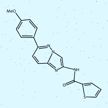 COc1ccc(-c2ccc3nc(NC(=O)c4cccs4)cn3n2)cc1